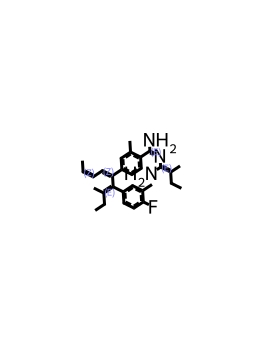 C\C=C/C=C(\C(=C(/C)CC)c1ccc(F)c(C)c1)c1ccc(/C(N)=N\C(N)=C(/C)CC)c(C)c1